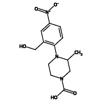 CC1CN(C(=O)O)CCN1c1ccc([N+](=O)[O-])cc1CO